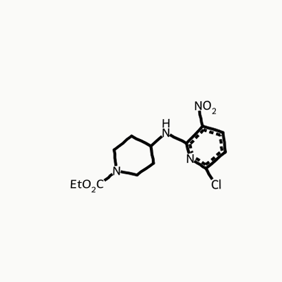 CCOC(=O)N1CCC(Nc2nc(Cl)ccc2[N+](=O)[O-])CC1